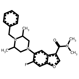 CC1CN(c2cc3c(C(=O)N(C)C)coc3cc2F)CC(C)N1Cc1ccccc1